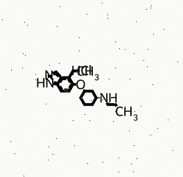 CCCN[C@@H]1CCC[C@@H](Oc2ccc3[nH]ncc3c2CC)C1.Cl